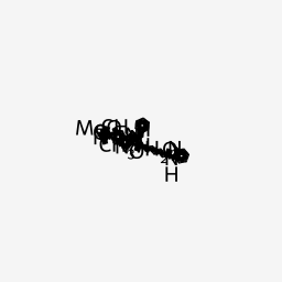 COc1cc2c(cc1-c1c(C)noc1C)ncc1c(C(=O)NCCCCCC(=O)Nc3ccccc3N)n(Cc3ccccc3)nc12